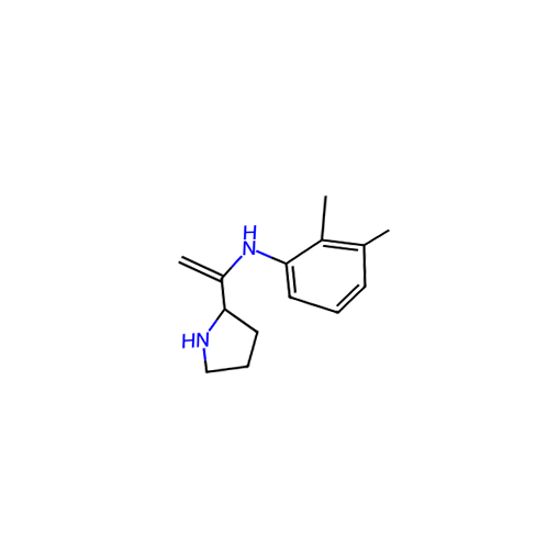 C=C(Nc1cccc(C)c1C)C1CCCN1